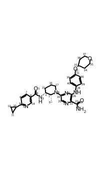 C[C@@H]1[C@H](NC(=O)c2ccc(C3CC3)nc2)CCCN1c1cnc(C(N)=O)c(Nc2ccc(OC3CCOCC3)cc2)n1